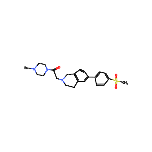 CCC(C)N1CCN(C(=O)CN2CCc3cc(-c4ccc(S(C)(=O)=O)cc4)ccc3C2)CC1